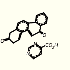 O=C(O)c1ccncn1.O=C1CC=c2c(ccc3c2=CC(=O)c2ccccc2-3)C1